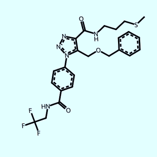 CSCCCNC(=O)c1nnn(-c2ccc(C(=O)NCC(F)(F)F)cc2)c1COCc1ccccc1